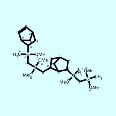 CO[Si](C)(C[Si](C)(OC)C1CC2CC(C[Si](C[Si](C)(OC)C3CC4C=CC3C4)(OC)OC)C1C2)OC